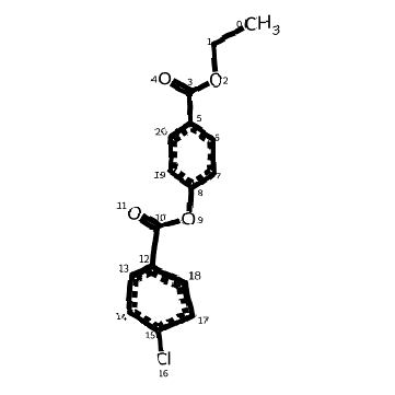 CCOC(=O)c1ccc(OC(=O)c2ccc(Cl)cc2)cc1